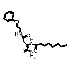 CCCCCCCC(=O)N[C@H](CC(=O)NCCOc1ccccc1)C(N)=O